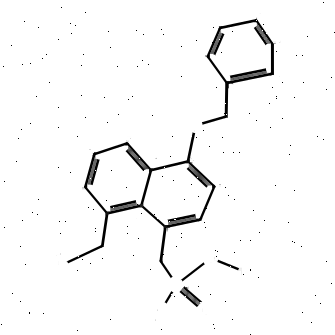 CCOP(=O)(O)Cc1ccc(OCc2ccccc2)c2cccc(CBr)c12